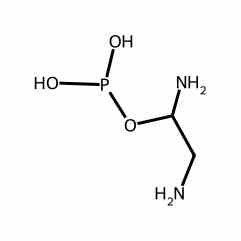 NCC(N)OP(O)O